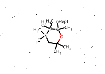 CCCCCCC[Si]1(C)OC(C)(C)C[Si](C)(C)[Si]1(C)C